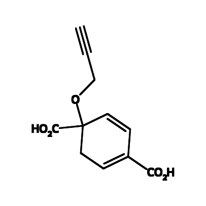 C#CCOC1(C(=O)O)C=CC(C(=O)O)=CC1